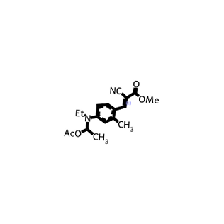 CCN(c1ccc(/C=C(\C#N)C(=O)OC)c(C)c1)C(C)OC(C)=O